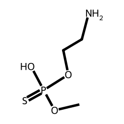 COP(O)(=S)OCCN